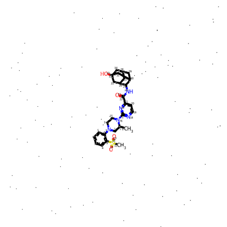 CC1CN(c2ccccc2S(C)(=O)=O)CCN1c1nccc(C(=O)NC2C3CC4CC2CC(O)(C4)C3)n1